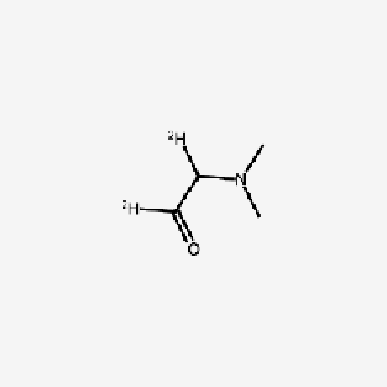 [2H]C(=O)C([2H])N(C)C